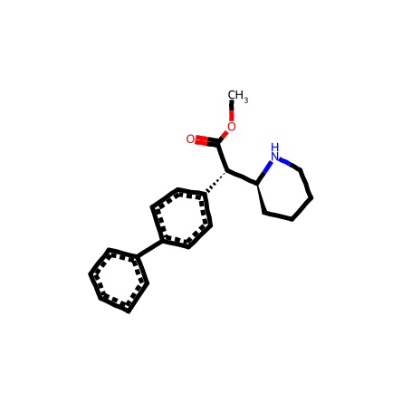 COC(=O)[C@@H](c1ccc(-c2ccccc2)cc1)[C@@H]1CCCCN1